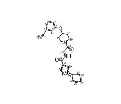 N#Cc1cccc(OC2CCN(C(=O)CNC(=O)c3cn(-c4ccccc4)nn3)CC2)c1